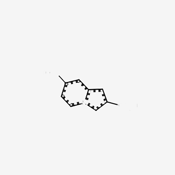 CCOC(=O)c1cc2cc(C(=O)O)ccn2c1